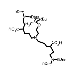 CCCCCCCCCCN(CCCCCCCCCC)CCC(CCCN(CCCC(CCN(CCCCCCCCCC)CCCCCCCCCC)C(=O)O)CCO[Si](C)(C)C(C)(C)C)C(=O)O